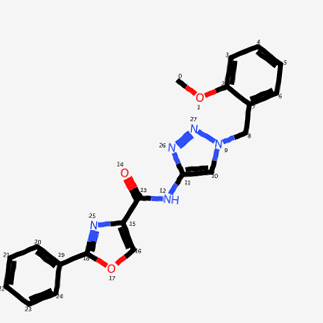 COc1ccccc1Cn1cc(NC(=O)c2coc(-c3ccccc3)n2)nn1